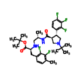 Cc1ccc(C[C@H](NC[C@H](C)NC(=O)[C@@H]2CN(C(C)(C)C)C[C@H]2c2ccc(F)c(F)c2F)C(=O)OC(C)(C)C)c(F)c1F